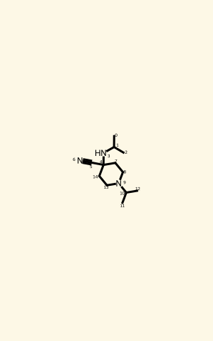 CC(C)NC1(C#N)CCN(C(C)C)CC1